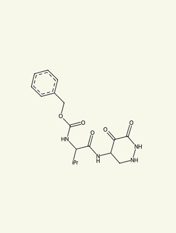 CC(C)C(NC(=O)OCc1ccccc1)C(=O)NC1CNNC(=O)C1=O